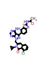 CC(=O)Nc1nc2ccc(-c3nn(Cc4cc5cc#cc(Cl)c5c(=O)n4C4CC4)c4ncnc(N)c34)cc2s1